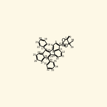 C=C1OB(c2ccc3c4c(cccc24)-c2c-3c(-c3ccccc3)c3ccccc3c2-c2ccccc2)OC1(C)C